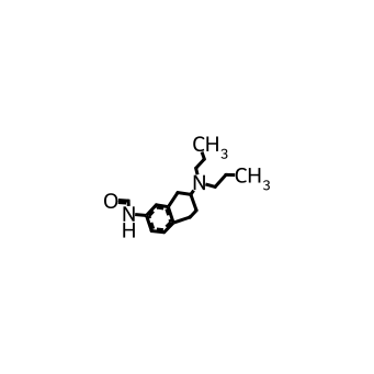 CCCN(CCC)C1CCc2ccc(NC=O)cc2C1